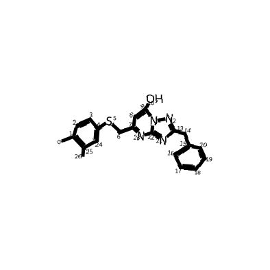 Cc1ccc(SCc2cc(O)n3nc(Cc4ccccc4)nc3n2)cc1C